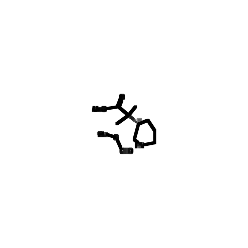 CC(C)(C)OC=O.COC(=O)C(C)(C)[C@@H]1CCCNC1